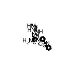 CN/C=C\C(=N)Nc1ncc(C(N)=O)c(Nc2cccc(-c3nc4ccccc4o3)c2OC)n1